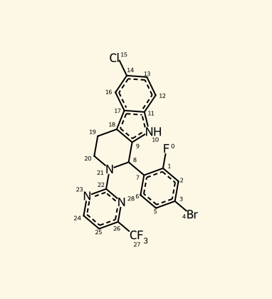 Fc1cc(Br)ccc1C1c2[nH]c3ccc(Cl)cc3c2CCN1c1nccc(C(F)(F)F)n1